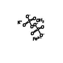 O.O=S(=O)([O-])[O-].O=S(=O)([O-])[O-].[Fe+3].[K+]